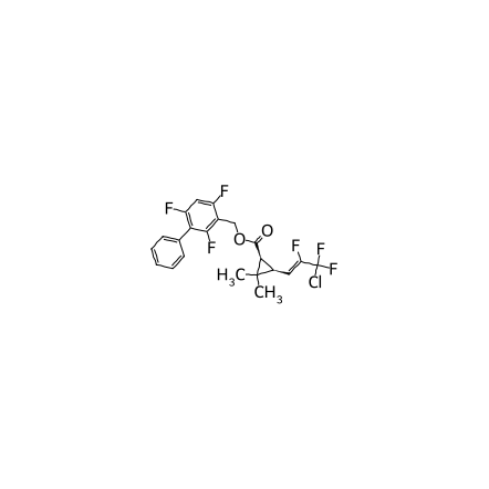 CC1(C)[C@H](C=C(F)C(F)(F)Cl)[C@@H]1C(=O)OCc1c(F)cc(F)c(-c2ccccc2)c1F